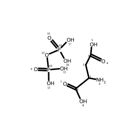 NC(CC(=O)O)C(=O)O.O=P(O)(O)OP(=O)(O)O